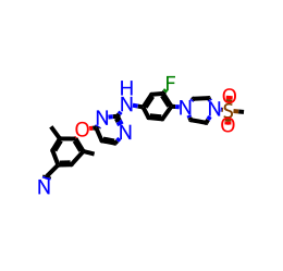 Cc1cc(C#N)cc(C)c1Oc1ccnc(Nc2ccc(N3CCN(S(C)(=O)=O)CC3)c(F)c2)n1